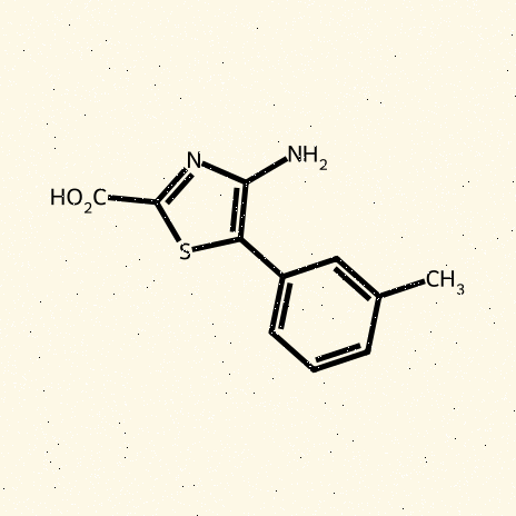 Cc1cccc(-c2sc(C(=O)O)nc2N)c1